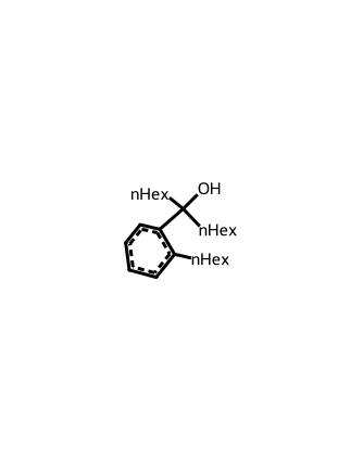 CCCCCCc1ccccc1C(O)(CCCCCC)CCCCCC